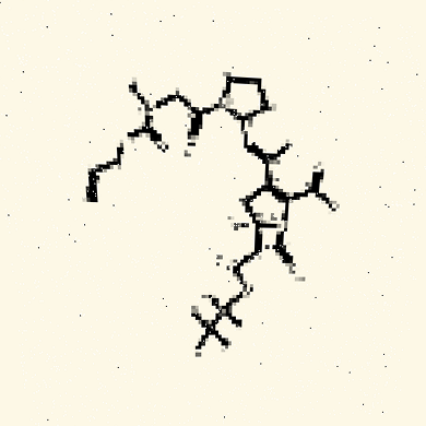 C=CCOC(=O)N(C)CC(=O)N1CCC[C@H]1C=C(C)C1=C(C(=O)O)N2C(=O)[C@H]([C@@H](C)O[Si](C)(C)C(C)(C)C)[C@H]2C1